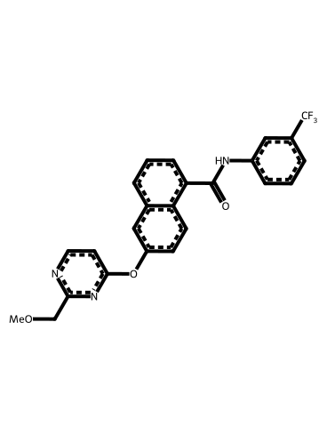 COCc1nccc(Oc2ccc3c(C(=O)Nc4cccc(C(F)(F)F)c4)cccc3c2)n1